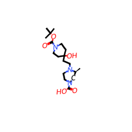 C[C@H]1CN(C(=O)O)CCN1CCC1(O)CCN(C(=O)OC(C)(C)C)CC1